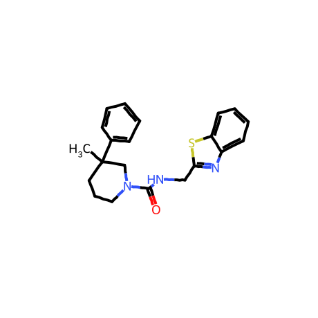 CC1(c2ccccc2)CCCN(C(=O)NCc2nc3ccccc3s2)C1